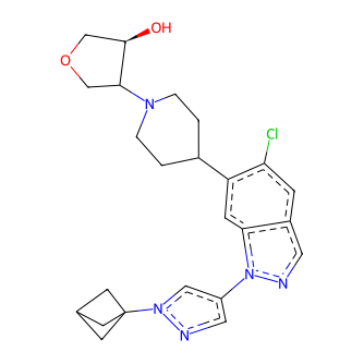 O[C@@H]1COCC1N1CCC(c2cc3c(cnn3-c3cnn(C45CC(C4)C5)c3)cc2Cl)CC1